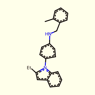 CCc1cc2ccccc2n1-c1ccc(NCc2ccccc2C)cc1